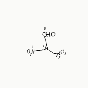 O=CN([N+](=O)[O-])[N+](=O)[O-]